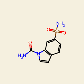 NC(=O)n1ccc2ccc(S(N)(=O)=O)cc21